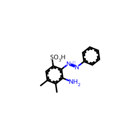 Cc1cc(S(=O)(=O)O)c(/N=N/c2ccccc2)c(N)c1C